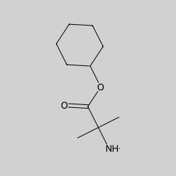 CC(C)([NH])C(=O)OC1CCCCC1